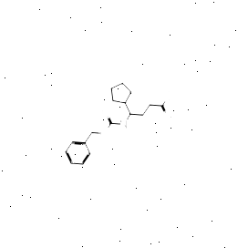 O=C(O)CCC(NC(=O)OCc1ccccc1)C1CCCC1